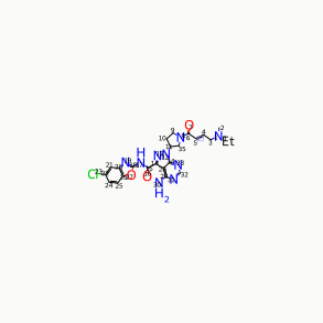 CCN(C)C/C=C/C(=O)N1CCC(n2nc(C(=O)Nc3nc4cc(Cl)ccc4o3)c3c(N)ncnc32)C1